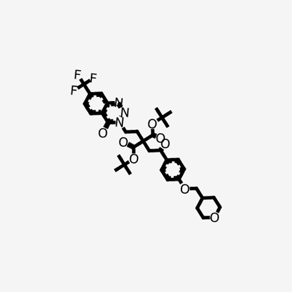 CC(C)(C)OC(=O)C(CCn1nnc2cc(C(F)(F)F)ccc2c1=O)(CC(=O)c1ccc(OCC2CCOCC2)cc1)C(=O)OC(C)(C)C